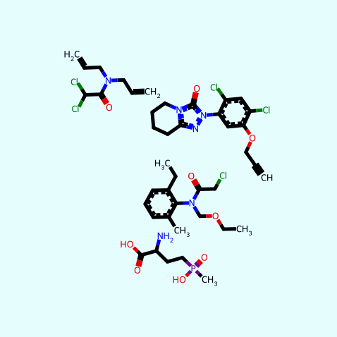 C#CCOc1cc(-n2nc3n(c2=O)CCCC3)c(Cl)cc1Cl.C=CCN(CC=C)C(=O)C(Cl)Cl.CCOCN(C(=O)CCl)c1c(C)cccc1CC.CP(=O)(O)CCC(N)C(=O)O